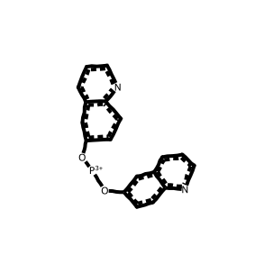 c1cnc2ccc(O[P+3]Oc3ccc4ncccc4c3)cc2c1